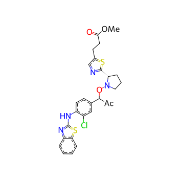 COC(=O)CCc1cnc([C@@H]2CCCN2OC(C(C)=O)c2ccc(Nc3nc4ccccc4s3)c(Cl)c2)s1